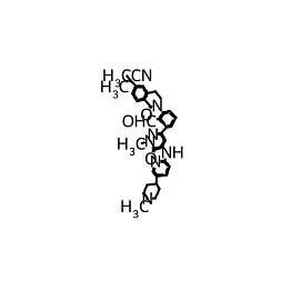 CN1CCC(c2ccc(Nc3cc(-c4cccc(N5CCc6cc(C(C)(C)C#N)ccc6C5=O)c4C=O)nn(C)c3=O)nc2)CC1